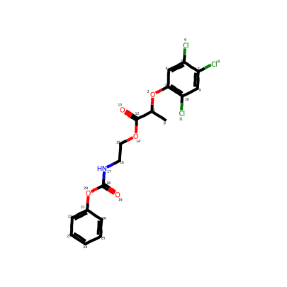 CC(Oc1cc(Cl)c(Cl)cc1Cl)C(=O)OCCNC(=O)Oc1ccccc1